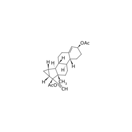 C#C[C@]1(OC(C)=O)[C@@H]2C[C@@H]2[C@H]2[C@@H]3CCC4=C[C@@H](OC(C)=O)CC[C@@H]4[C@H]3CC[C@@]21C